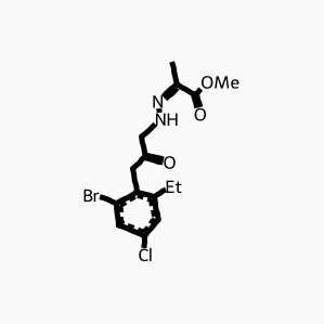 CCc1cc(Cl)cc(Br)c1CC(=O)CNN=C(C)C(=O)OC